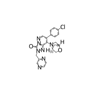 O=c1n(Cc2cnccn2)nc2c(N3C[C@@H]4C[C@H]3CO4)c(-c3ccc(Cl)cc3)cnn12